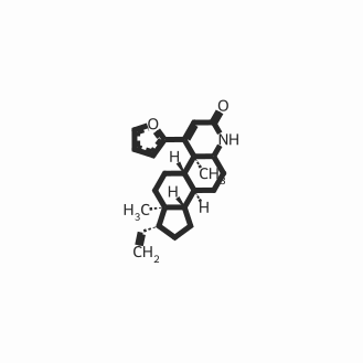 C=C[C@H]1CC[C@H]2[C@@H]3CCC4NC(=O)C=C(c5ccco5)[C@]4(C)[C@H]3CC[C@]12C